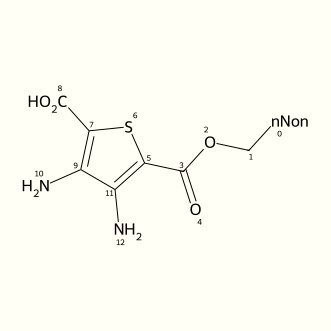 CCCCCCCCCCOC(=O)c1sc(C(=O)O)c(N)c1N